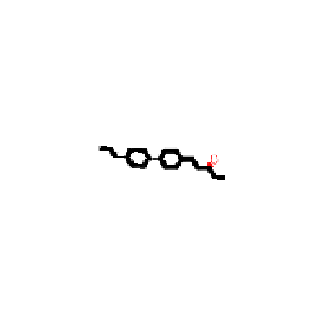 CCC[C@H]1CC[C@H](C2CCC(CCC(=O)CC)CC2)CC1